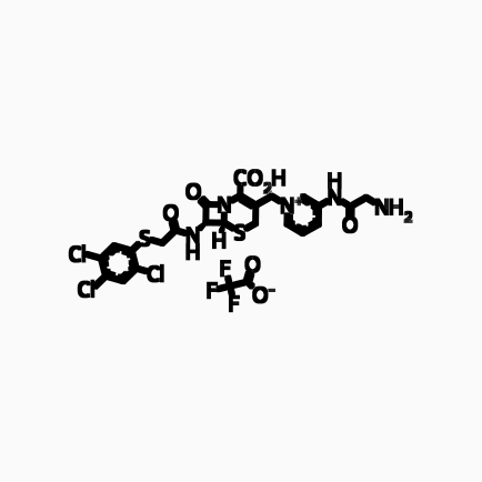 NCC(=O)Nc1ccc[n+](CC2=C(C(=O)O)N3C(=O)[C@H](NC(=O)CSc4cc(Cl)c(Cl)cc4Cl)[C@H]3SC2)c1.O=C([O-])C(F)(F)F